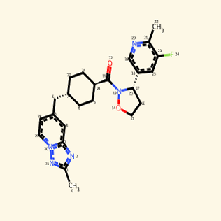 Cc1nc2cc(C[C@H]3CC[C@H](C(=O)N4OCC[C@H]4c4cnc(C)c(F)c4)CC3)ccn2n1